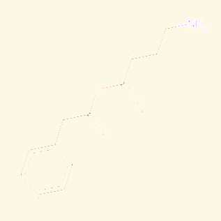 NCCCC(=O)OC(=O)Cc1ccccc1